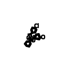 COc1ccc(N(C(C)c2ccc(Cl)cc2)S(=O)(=O)c2ccccc2)cc1